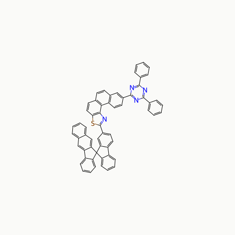 c1ccc(-c2nc(-c3ccccc3)nc(-c3ccc4c(ccc5ccc6sc(-c7ccc8c(c7)C7(c9ccccc9-8)c8ccccc8-c8cc9ccccc9cc87)nc6c54)c3)n2)cc1